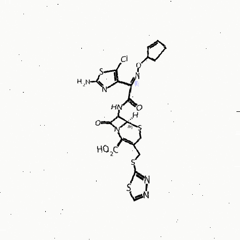 Nc1nc(/C(=N\OC2C=CCC2)C(=O)NC2C(=O)N3C(C(=O)O)=C(CSc4nncs4)CS[C@H]23)c(Cl)s1